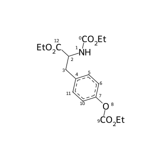 CCOC(=O)NC(Cc1ccc(OC(=O)OCC)cc1)C(=O)OCC